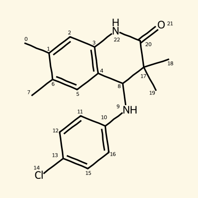 Cc1cc2c(cc1C)C(Nc1ccc(Cl)cc1)C(C)(C)C(=O)N2